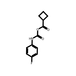 O=C(Nc1ccc(F)cc1)OC(=O)C1CCC1